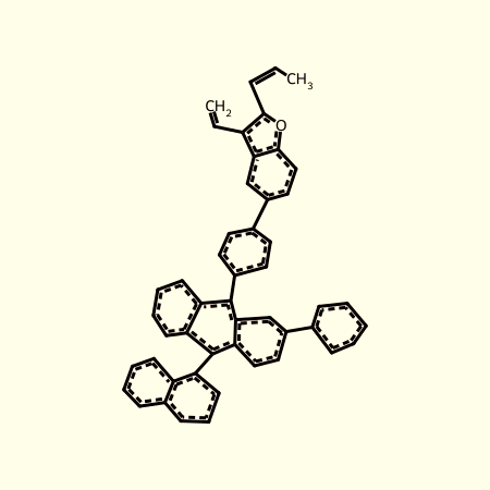 C=Cc1c(/C=C\C)oc2ccc(-c3ccc(-c4c5ccccc5c(-c5cccc6ccccc56)c5ccc(-c6ccccc6)cc45)cc3)cc12